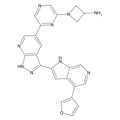 NC1CN(c2cncc(-c3cnc4[nH]nc(-c5cc6c(-c7ccoc7)cncc6[nH]5)c4c3)n2)C1